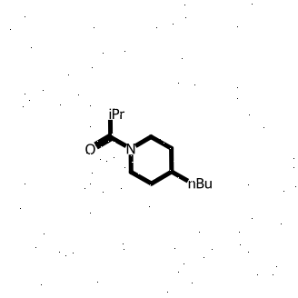 CCCCC1CCN(C(=O)C(C)C)CC1